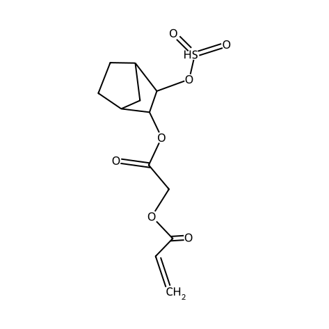 C=CC(=O)OCC(=O)OC1C2CCC(C2)C1O[SH](=O)=O